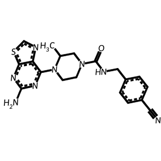 CC1CN(C(=O)NCc2ccc(C#N)cc2)CCN1c1nc(N)nc2scnc12